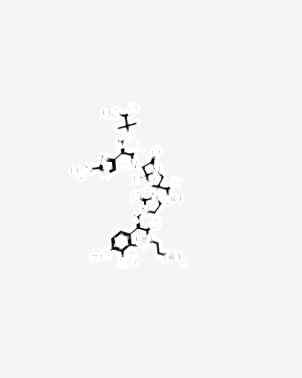 CC(C)(O/N=C(\C(=O)N[C@@H]1C(=O)N2C[C@@](C(=O)O)(N3CCN(/N=C(\C(=O)NCCN)c4ccc(O)c(O)c4Cl)C3=O)S[C@H]12)c1csc(N)n1)C(=O)O